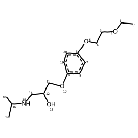 [CH2]COCCOc1ccc(OCC(O)CNC(C)C)cc1